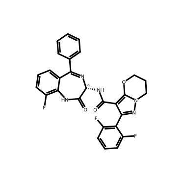 O=C(N[C@H]1N=C(c2ccccc2)c2cccc(F)c2NC1=O)c1c(-c2c(F)cccc2F)nn2c1OCCC2